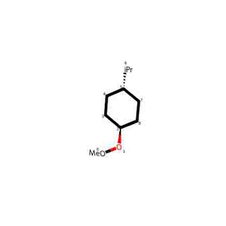 COO[C@H]1CC[C@H](C(C)C)CC1